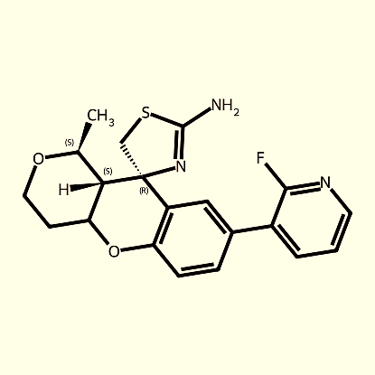 C[C@@H]1OCCC2Oc3ccc(-c4cccnc4F)cc3[C@@]3(CSC(N)=N3)[C@H]21